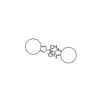 C[Si](C)(C1C=C2CCCCCCCCCCC2=C1)C1C=C2CCCCCCCCCCC2=C1